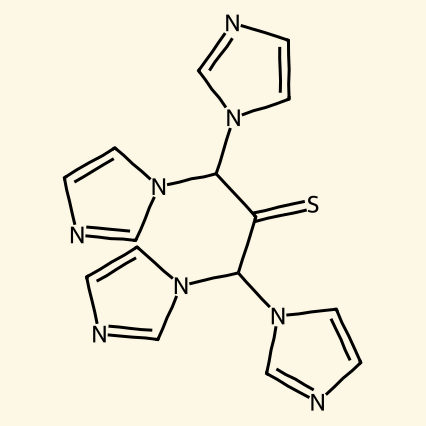 S=C(C(n1ccnc1)n1ccnc1)C(n1ccnc1)n1ccnc1